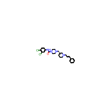 O=C(Nc1ccc(Cl)c(Cl)c1)N1CCN(C[C@@H]2CCCN(C/C=C/c3ccccc3)C2)CC1